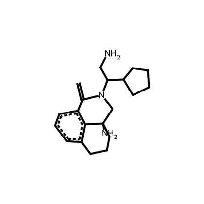 C=C1c2cccc3c2C(N)(CCC3)CN1C(CN)C1CCCC1